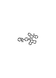 c1ccc2c(c1)sc1c3ccccc3c3c(c21)c1c2ccccc2c2ccccc2c1n3-c1ccc(-c2cn3ccccc3n2)cc1